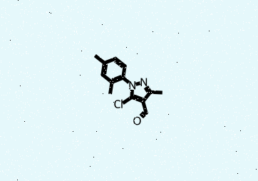 Cc1ccc(-n2nc(C)c(C=O)c2Cl)c(C)c1